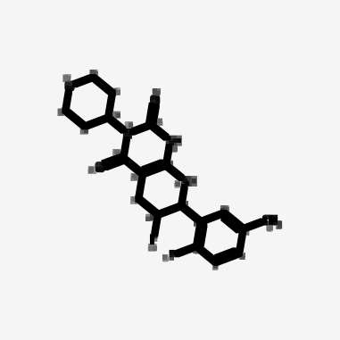 Cc1ccc(F)c(C2Nc3[nH]c(=O)n(C4CCOCC4)c(=O)c3CC2F)c1